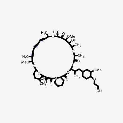 COC1CC2CCC(C)C(O)(O2)C(=O)C(=O)N2CCCCC2C(=O)OC(C(C)CC2CCC(OCCO)C(OC)C2)CC(=O)C(C)CC(C)C(O)C(OC)C(=O)C(C)CC(C)/C=C/C=C/C=C\1C